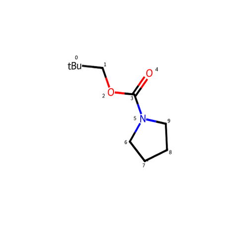 CC(C)(C)COC(=O)N1C[CH]CC1